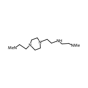 CNCCNCCN1CCN(CCNC)CC1